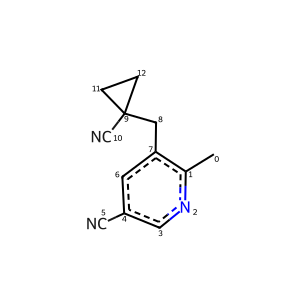 Cc1ncc(C#N)cc1CC1(C#N)CC1